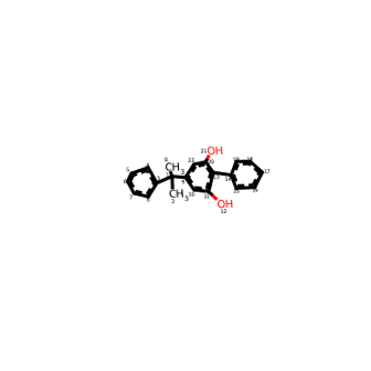 CC(C)(c1ccccc1)c1cc(O)c(-c2ccccc2)c(O)c1